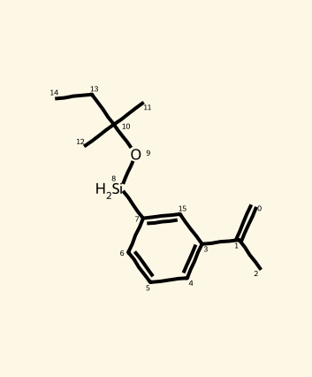 C=C(C)c1cccc([SiH2]OC(C)(C)CC)c1